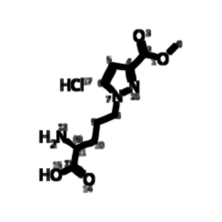 COC(=O)c1ccn(CCC[C@H](N)C(=O)O)n1.Cl